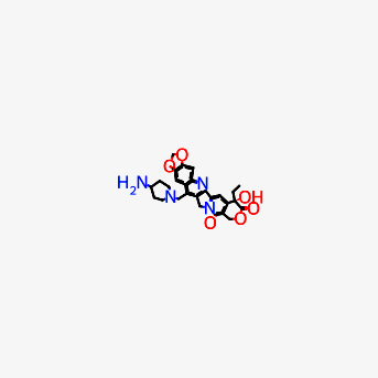 CC[C@@]1(O)C(=O)OCc2c1cc1n(c2=O)Cc2c-1nc1cc3c(cc1c2CN1CCC(N)CC1)OCO3